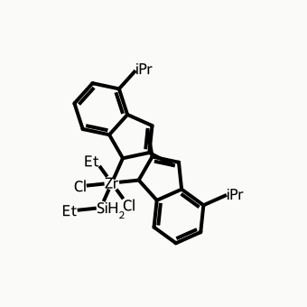 CC[SiH2][Zr]([Cl])([Cl])([CH2]C)([CH]1C(C)=Cc2c(C(C)C)cccc21)[CH]1C(C)=Cc2c(C(C)C)cccc21